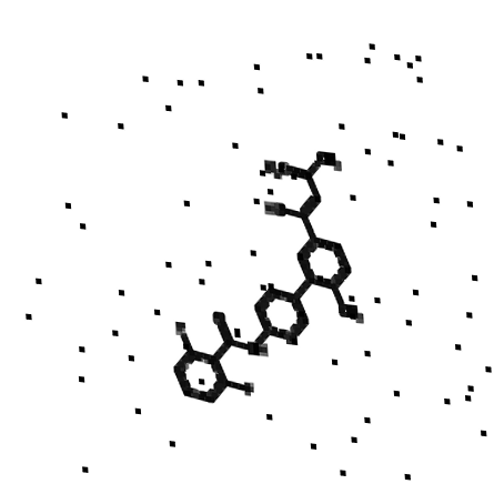 C=C(C)/C=C(\O)c1ccc(C)c(-c2ccc(NC(=O)c3c(F)cccc3F)nc2)c1